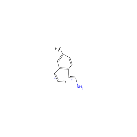 CC/C=C\c1cc(C)ccc1/C=C/N